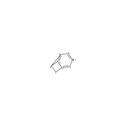 [c]1ncc2c3c1C3C2